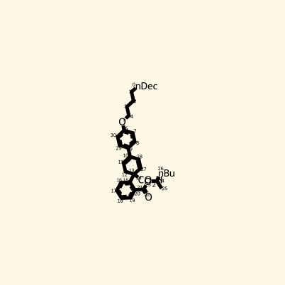 CCCCCCCCCCCCCCOc1ccc(C2=CCC(C(=O)O)(c3ccccc3C(=O)OC(C)CCCC)C=C2)cc1